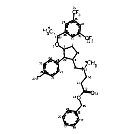 C[C@@H](OC1CCC(CN(C)CCC(=O)OCc2ccccc2)C1c1ccc(F)cc1)c1cc(C(F)(F)F)cc(C(F)(F)F)c1